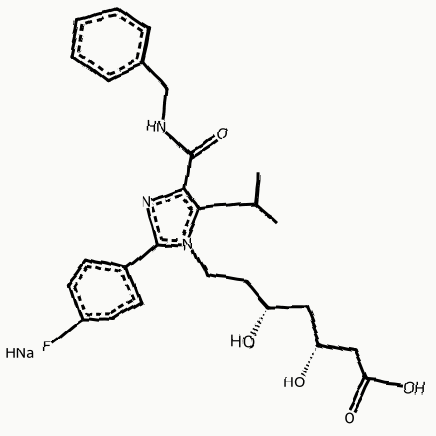 CC(C)c1c(C(=O)NCc2ccccc2)nc(-c2ccc(F)cc2)n1CC[C@@H](O)C[C@@H](O)CC(=O)O.[NaH]